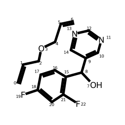 C=CCOCC=C.OC(c1cncnc1)c1ccc(F)cc1F